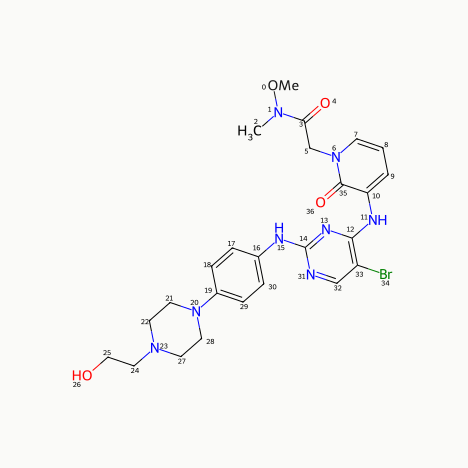 CON(C)C(=O)Cn1cccc(Nc2nc(Nc3ccc(N4CCN(CCO)CC4)cc3)ncc2Br)c1=O